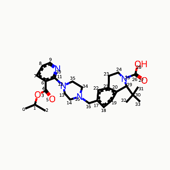 CC(C)OC(=O)c1cccnc1N1CCN(Cc2ccc3c(c2)CCN(C(=O)O)C3C(C)(C)C)CC1